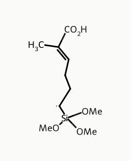 CO[Si]([CH]CCC=C(C)C(=O)O)(OC)OC